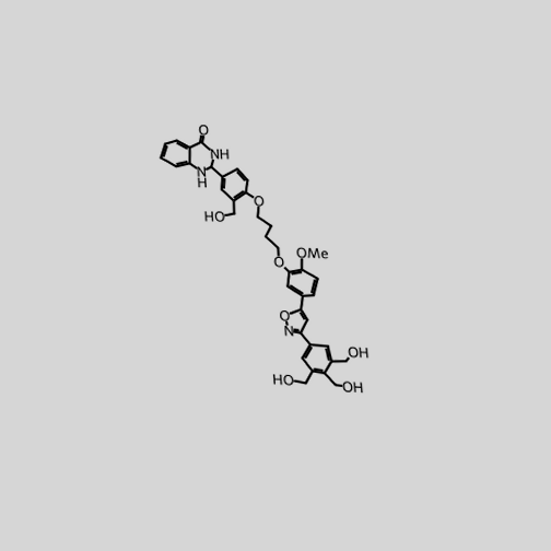 COc1ccc(-c2cc(-c3cc(CO)c(CO)c(CO)c3)no2)cc1OCCCCOc1ccc(C2NC(=O)c3ccccc3N2)cc1CO